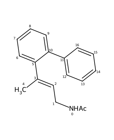 CC(=O)NCC=C(C)c1ccccc1-c1ccccc1